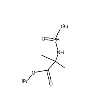 CC(C)OC(=O)C(C)(C)N[PH](=O)C(C)(C)C